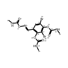 CNC(=O)ON=Cc1cc(Br)c(OC(=O)NC)c(Br)c1OC(=O)NC